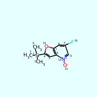 C[Si](C)(C)c1cc2c(cc(F)c[n+]2[O-])o1